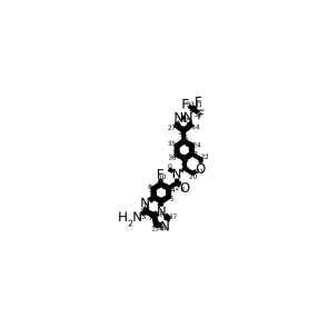 CN(C(=O)c1cc2c(cc1F)nc(N)c1cncn12)[C@@H]1COCc2cc(-c3cnn(C(F)(F)F)c3)ccc21